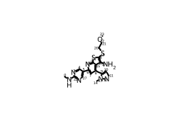 CNc1ncc(-c2cc(-c3ccnn3C)c3c(N)c(SCCOC)sc3n2)cn1